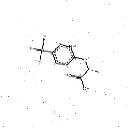 C[C@@H](Oc1ccc(C(F)(F)F)cn1)C(=O)O